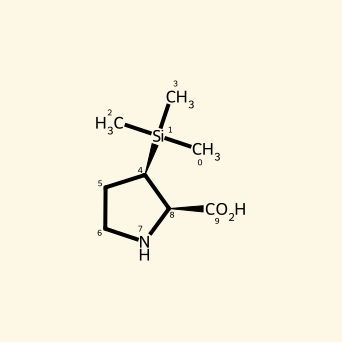 C[Si](C)(C)[C@@H]1CCN[C@@H]1C(=O)O